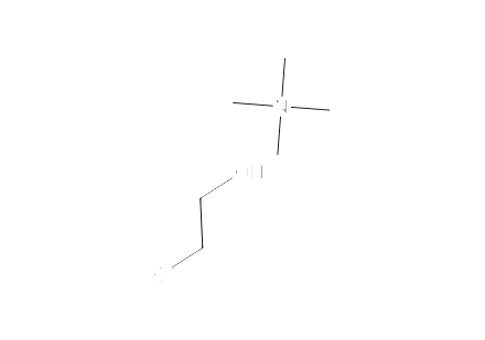 C[N+](C)(C)C.[O-]CCO